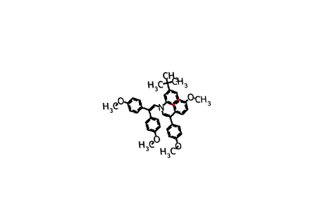 COc1ccc(C(=CN(C=C(c2ccc(OC)cc2)c2ccc(OC)cc2)c2cccc(C(C)(C)C)c2)c2ccc(OC)cc2)cc1